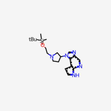 CC(C)(C)[Si](C)(C)OCCN1CCC(n2cnc3cnc4[nH]ccc4c32)C1